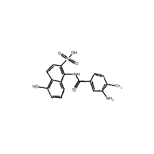 Cc1ccc(C(=O)Nc2c(S(=O)(=O)O)ccc3c(O)cccc23)cc1N